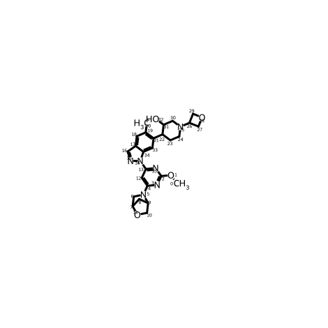 COc1nc(N2CC3CC2CO3)cc(-n2ncc3cc(C)c(C4CCN(C5COC5)CC4O)cc32)n1